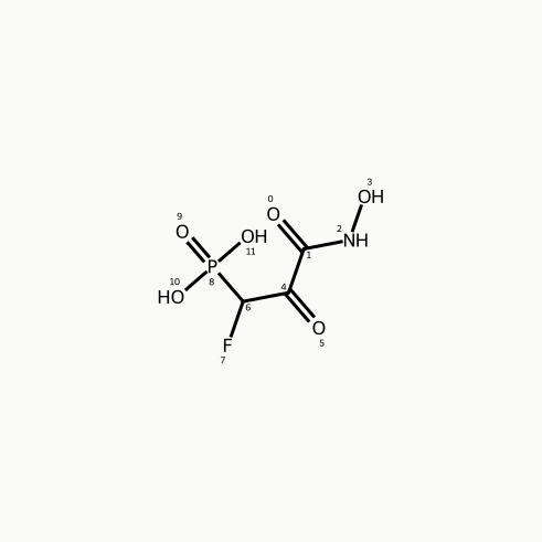 O=C(NO)C(=O)C(F)P(=O)(O)O